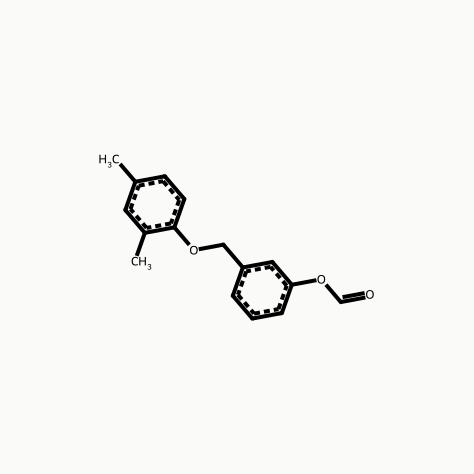 Cc1ccc(OCc2cccc(OC=O)c2)c(C)c1